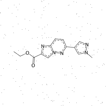 CCOC(=O)c1cn2nc(-c3cnn(C)c3)ccc2n1